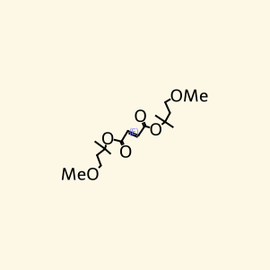 COCCC(C)(C)OC(=O)/C=C/C(=O)OC(C)(C)CCOC